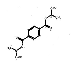 COC(C)OC(=O)c1ccc(C(=O)OC(C)OC)cc1